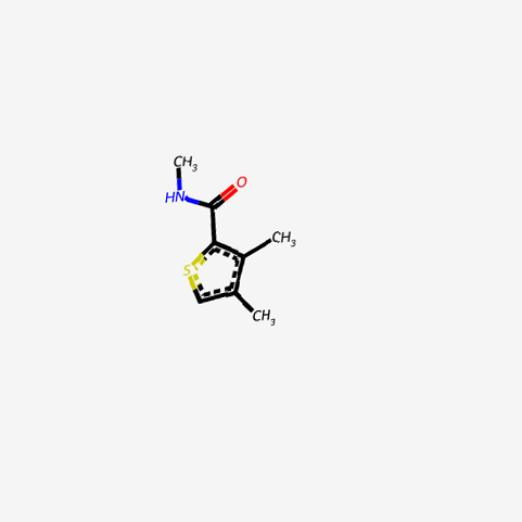 CNC(=O)c1scc(C)c1C